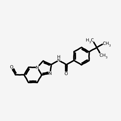 CC(C)(C)c1ccc(C(=O)Nc2cn3cc(C=O)ccc3n2)cc1